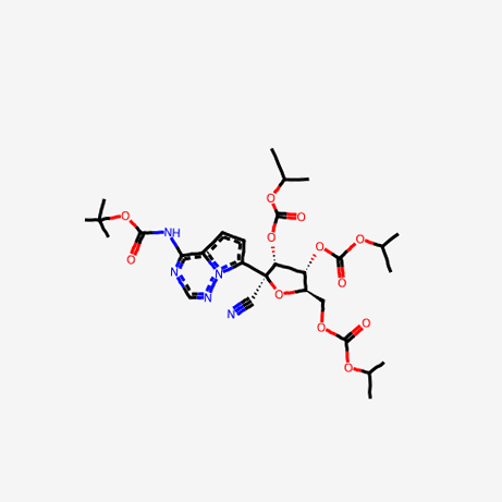 CC(C)OC(=O)OC[C@H]1O[C@@](C#N)(c2ccc3c(NC(=O)OC(C)(C)C)ncnn23)[C@H](OC(=O)OC(C)C)[C@@H]1OC(=O)OC(C)C